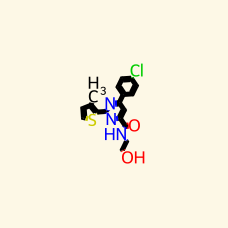 Cc1ccsc1-c1nc(C(=O)NCCO)cc(-c2ccc(Cl)cc2)n1